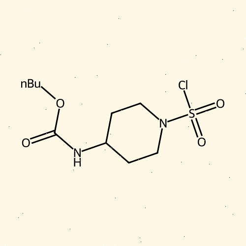 CCCCOC(=O)NC1CCN(S(=O)(=O)Cl)CC1